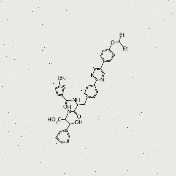 CCC(CC)Oc1ccc(-c2cnc(-c3ccc(C[C@H](NC(=O)c4ccc(C(C)(C)C)s4)C(=O)NC(C(=O)O)C(O)c4ccccc4)cc3)nc2)cc1